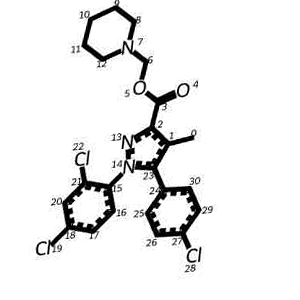 Cc1c(C(=O)OCN2CCCCC2)nn(-c2ccc(Cl)cc2Cl)c1-c1ccc(Cl)cc1